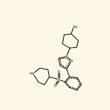 O=S(=O)(c1ccccc1-c1ccn(C2CCC(O)CC2)n1)C1CCNCC1